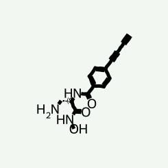 C#CC#Cc1ccc(C(=O)N[C@@H](CN)C(=O)NO)cc1